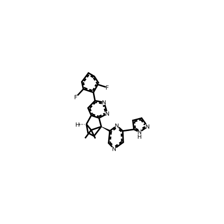 CC1(C)[C@H]2CC[C@@]1(c1cncc(-c3ccn[nH]3)n1)c1nnc(-c3c(F)cccc3F)cc12